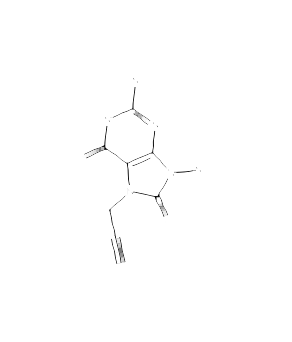 C#CCn1c(=O)n(N)c2nc(N)[nH]c(=O)c21